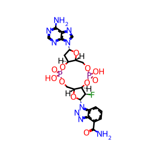 NC(=O)c1cccc2c1nnn2[C@@H]1O[C@@H]2COP(=O)(O)O[C@H]3C[C@H](n4cnc5c(N)ncnc54)O[C@@H]3COP(=O)(O)O[C@H]2[C@H]1F